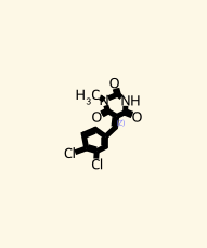 CN1C(=O)NC(=O)/C(=C/c2ccc(Cl)c(Cl)c2)C1=O